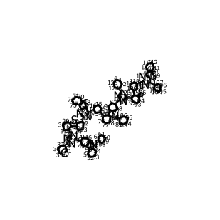 c1ccc(-c2nc(-c3ccc4c5c(-c6cccc(-c7nc(-c8cccc9c8sc8cccc(-c%10nc(-c%11ccccc%11)nc(-c%11ccc%12c(c%11)c%11ccccc%11n%12-c%11ccccc%11)n%10)c89)nc8c7sc7ccccc78)c6)cccc5n(-c5ccccc5)c4c3)nc(-c3cccc4sc5c(-c6nc(-c7ccccc7)c7sc8ccccc8c7n6)cccc5c34)n2)cc1